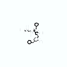 COC1CC(Cc2ccccc2)CCN1C(=O)c1cc2c(NCCNC(C)=O)nc(-c3ccccc3)nc2[nH]1